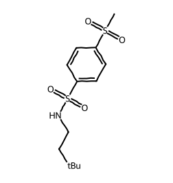 CC(C)(C)CCNS(=O)(=O)c1ccc(S(C)(=O)=O)cc1